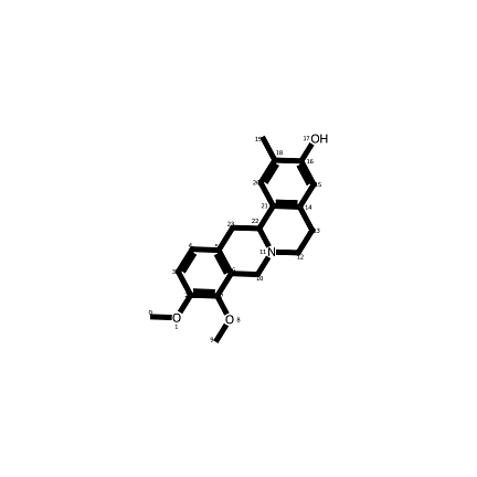 COc1ccc2c(c1OC)CN1CCc3cc(O)c(C)cc3C1C2